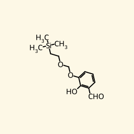 C[Si](C)(C)CCOCOc1cccc(C=O)c1O